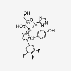 OC[C@H]1O[C@@H](c2ncnn2-c2cc(Cl)ccc2O)C[C@@H](n2cc(-c3cc(F)c(F)c(F)c3)nn2)[C@H]1O